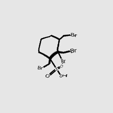 O=S(=O)(O)C1(Br)CCCC(Br)C1(Br)Br